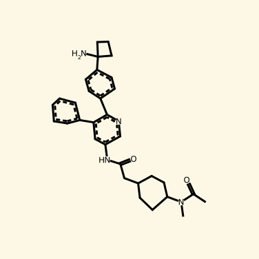 CC(=O)N(C)C1CCC(CC(=O)Nc2cnc(-c3ccc(C4(N)CCC4)cc3)c(-c3ccccc3)c2)CC1